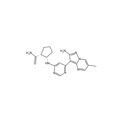 Cc1cnc2c(-c3cc(N[C@H]4CCC[C@H]4C(N)=O)ncn3)c(N)nn2c1